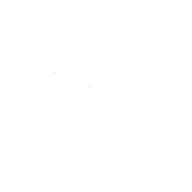 CCOC(=O)C(C)N1CCCCC1CNC(=O)c1cc(OCC(F)(F)F)ccc1OCC(F)(F)F.CCOC(=O)CCBr